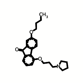 CCCCOc1ccc2c(c1)C(=O)c1cccc(OCCCN3CCCC3)c1-2